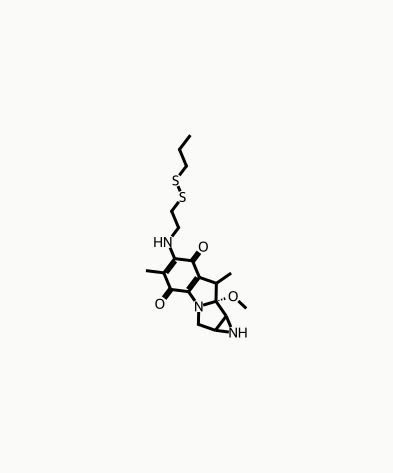 CCCSSCCNC1=C(C)C(=O)C2=C(C1=O)C(C)[C@@]1(OC)C3NC3CN21